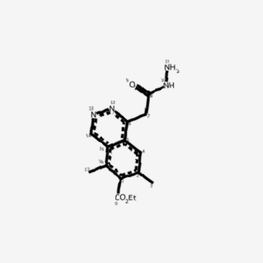 CCOC(=O)c1c(C)cc2c(CC(=O)NN)nncc2c1C